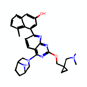 Cc1cccc2cc(O)cc(-c3ccc4c(N5CC6CCC(C5)N6)nc(OCC5(CN(C)C)CC5)nc4n3)c12